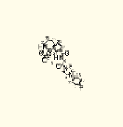 O=C(NCC(=O)N1CCN(c2ccc(F)cc2)CC1)c1ccc2c(c1)C(OC(=O)C(F)(F)F)NCCC2